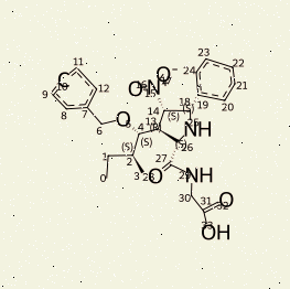 CC[C@H](C)[C@H](OCc1ccccc1)[C@H]1[C@H]([N+](=O)[O-])[C@H](c2ccccc2)N[C@@H]1C(=O)NCC(=O)O